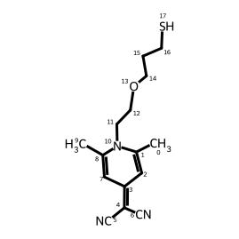 CC1=CC(=C(C#N)C#N)C=C(C)N1CCOCCCS